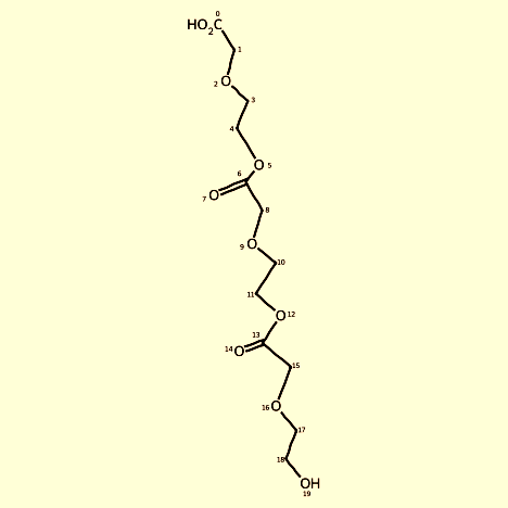 O=C(O)COCCOC(=O)COCCOC(=O)COCCO